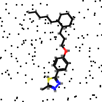 CCCCCC1CCCCC1CCCOc1ccc(-c2nnc(C)s2)cc1